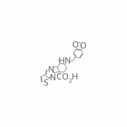 CC1C(NCc2ccc3c(c2)OCO3)CCC(C(=O)O)(c2ncc3ccsc3n2)C1C